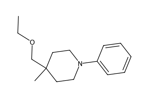 CCOCC1(C)CCN(c2ccccc2)CC1